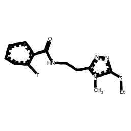 CCSc1nnc(CCNC(=O)c2ccccc2F)n1C